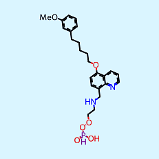 COc1cccc(CCCCCOc2ccc(CNCCOO[PH](=O)O)c3ncccc23)c1